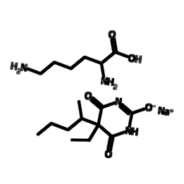 CCCC(C)C1(CC)C(=O)N=C([O-])NC1=O.NCCCCC(N)C(=O)O.[Na+]